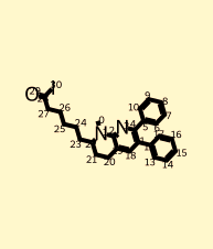 CN1c2nc(-c3ccccc3)c(-c3ccccc3)cc2CCC1CCCCCC(=O)I